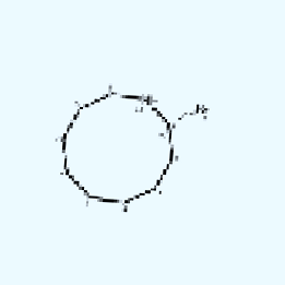 Br[C@@H]1CCCCCCCCN1